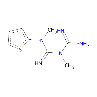 CN(C(=N)N)C(=N)N(C)c1cccs1